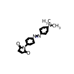 CN(C)c1ccc(/N=N/c2ccc(N3C(=O)C=CC3=O)cc2)cc1